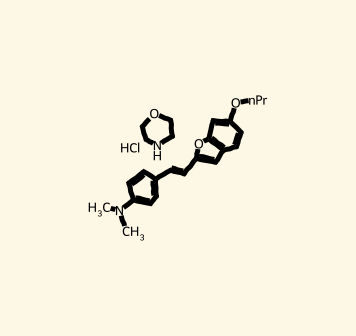 C1COCCN1.CCCOc1ccc2cc(C=Cc3ccc(N(C)C)cc3)oc2c1.Cl